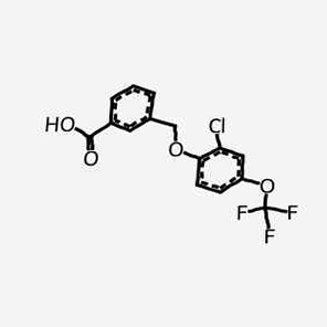 O=C(O)c1cccc(COc2ccc(OC(F)(F)F)cc2Cl)c1